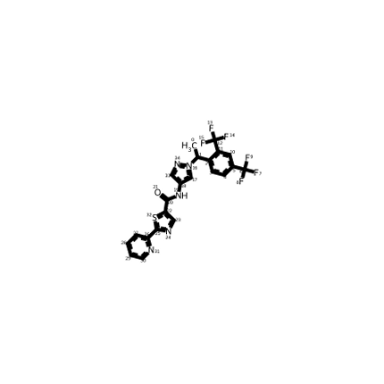 CC(c1ccc(C(F)(F)F)cc1C(F)(F)F)n1cc(NC(=O)c2cnc(-c3ccccn3)s2)cn1